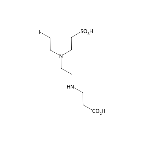 O=C(O)CCNCCN(CCI)CCS(=O)(=O)O